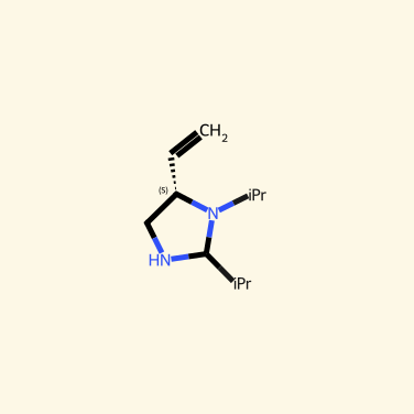 C=C[C@H]1CNC(C(C)C)N1C(C)C